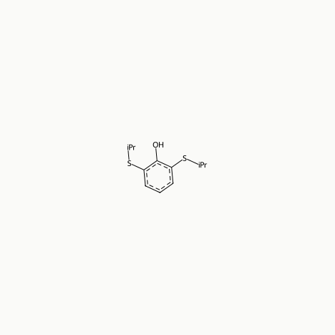 CC(C)Sc1cccc(SC(C)C)c1O